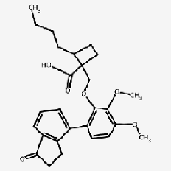 CCCCC1CCC1(COc1c(-c2cccc3c2CCC3=O)ccc(OC)c1OC)C(=O)O